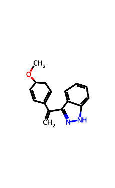 C=C(C1=CCC(OC)C=C1)c1n[nH]c2ccccc12